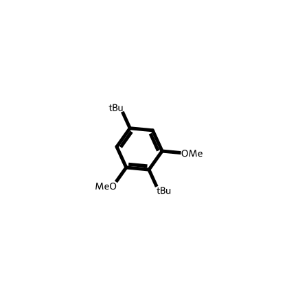 COc1cc(C(C)(C)C)cc(OC)c1C(C)(C)C